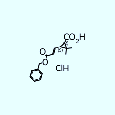 CC1(C)[C@H](C(=O)O)[C@@H]1C=CC(=O)OCc1ccccc1.Cl